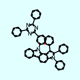 c1ccc(-c2nc(-c3ccccc3)nc(-c3cccc(-n4c5ccccc5c5ccc6c(c(-c7ccccc7)c(-c7ccccc7)n6-c6ccccc6)c54)c3)n2)cc1